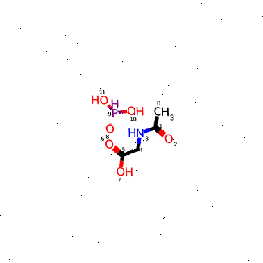 CC(=O)NCC(=O)O.O=[PH](O)O